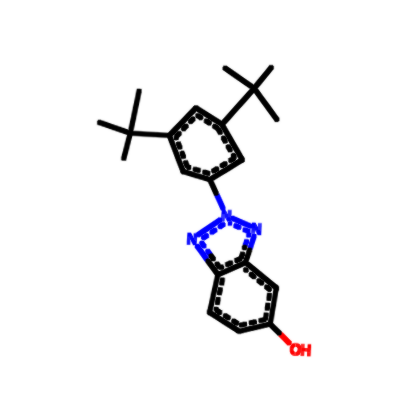 CC(C)(C)c1cc(-n2nc3ccc(O)cc3n2)cc(C(C)(C)C)c1